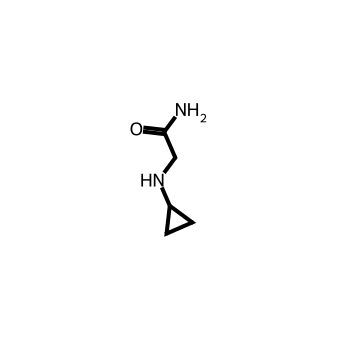 NC(=O)CNC1CC1